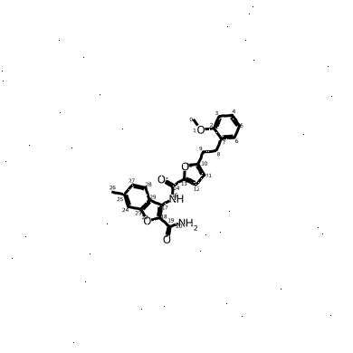 COc1ccccc1CCc1ccc(C(=O)Nc2c(C(N)=O)oc3cc(C)ccc23)o1